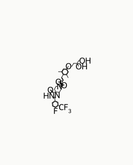 Cc1cc(OCCC(O)CO)cc(C)c1C=CS(=O)(=O)N1CCC2(CC1)N=C(c1ccc(F)c(C(F)(F)F)c1)NC2=O